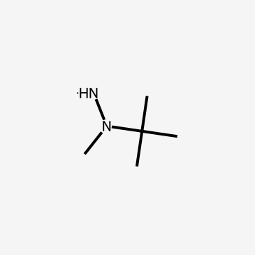 CN([NH])C(C)(C)C